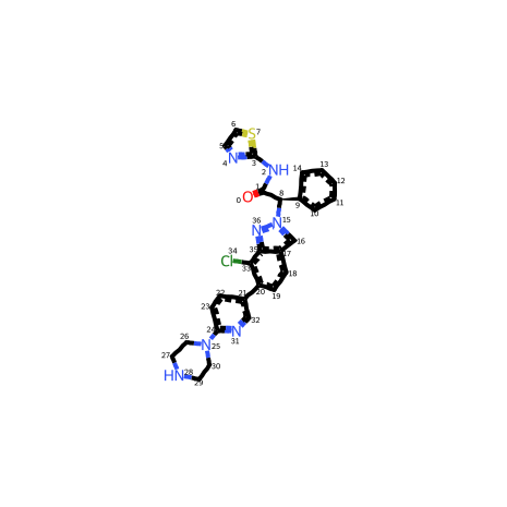 O=C(Nc1nccs1)[C@@H](c1ccccc1)n1cc2ccc(-c3ccc(N4CCNCC4)nc3)c(Cl)c2n1